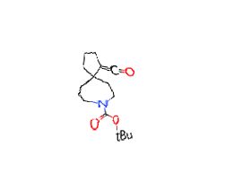 CC(C)(C)OC(=O)N1CCC2(CCCC2=C=O)CC1